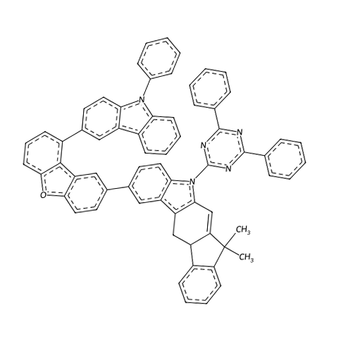 CC1(C)C2=Cc3c(c4cc(-c5ccc6oc7cccc(-c8ccc9c(c8)c8ccccc8n9-c8ccccc8)c7c6c5)ccc4n3-c3nc(-c4ccccc4)nc(-c4ccccc4)n3)CC2c2ccccc21